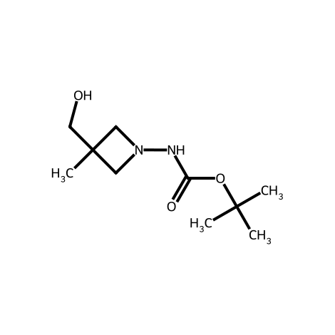 CC1(CO)CN(NC(=O)OC(C)(C)C)C1